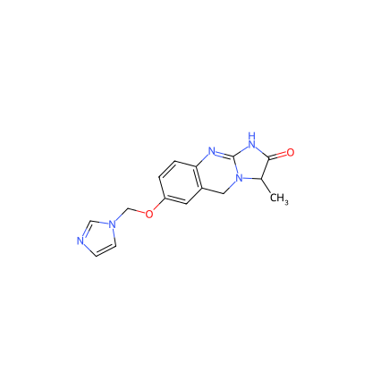 CC1C(=O)NC2=Nc3ccc(OCn4ccnc4)cc3CN21